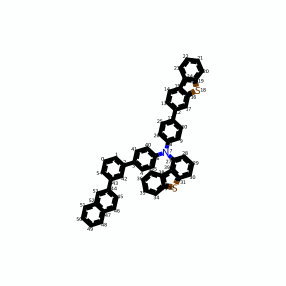 c1cc(-c2ccc(N(c3ccc(-c4ccc5c(c4)sc4ccccc45)cc3)c3cccc4sc5ccccc5c34)cc2)cc(-c2ccc3ccccc3c2)c1